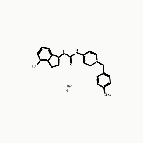 COc1ccc(CN2C=CC(NC(=O)NC3CCc4c3cccc4C(F)(F)F)=CC2)cc1.[H-].[Na+]